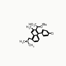 Cc1cc2c(CN(C)C)cccc2c(-c2ccc(Cl)cc2)c1C(OC(C)(C)C)C(=O)O